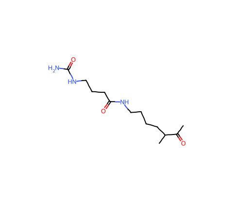 CC(=O)C(C)CCCCNC(=O)CCCNC(N)=O